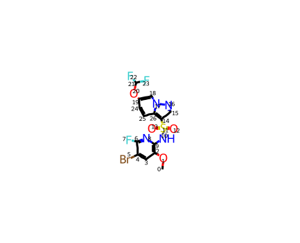 COc1cc(Br)c(F)nc1NS(=O)(=O)c1cnn2cc(OC(F)F)ccc12